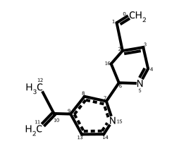 C=CC1=CC=NC(c2cc(C(=C)C)ccn2)C1